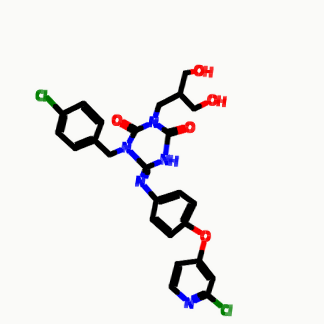 O=c1[nH]/c(=N\c2ccc(Oc3ccnc(Cl)c3)cc2)n(Cc2ccc(Cl)cc2)c(=O)n1CC(CO)CO